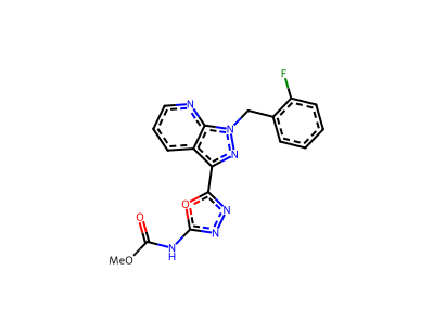 COC(=O)Nc1nnc(-c2nn(Cc3ccccc3F)c3ncccc23)o1